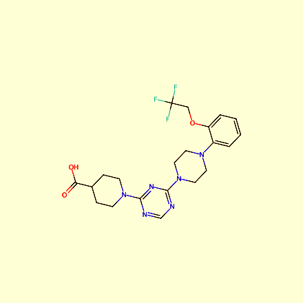 O=C(O)C1CCN(c2ncnc(N3CCN(c4ccccc4OCC(F)(F)F)CC3)n2)CC1